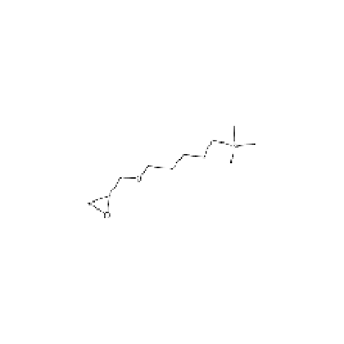 C[Si](C)(C)CCCCCOCC1CO1